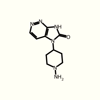 NN1CCC(n2c(=O)[nH]c3nnccc32)CC1